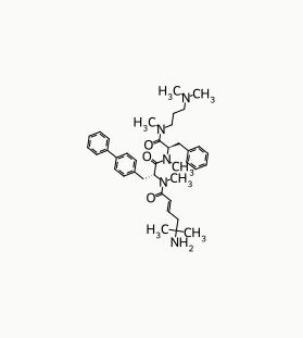 CN(C)CCCN(C)C(=O)[C@@H](Cc1ccccc1)N(C)C(=O)[C@@H](Cc1ccc(-c2ccccc2)cc1)N(C)C(=O)C=CCC(C)(C)N